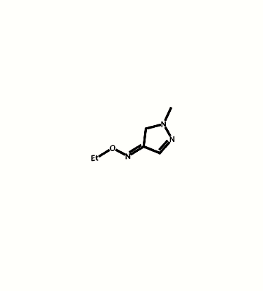 CCON=C1C=NN(C)C1